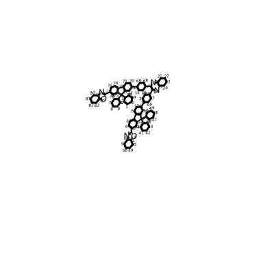 c1ccc(C2(c3ccccc3)c3cc(-c4ccc(-c5nc6ccccc6nc5-c5ccc(-c6ccc7c(c6)C(c6ccccc6)(c6ccccc6)c6cc(-c8nc9ccccc9o8)ccc6-7)cc5)cc4)ccc3-c3ccc(-c4nc5ccccc5o4)cc32)cc1